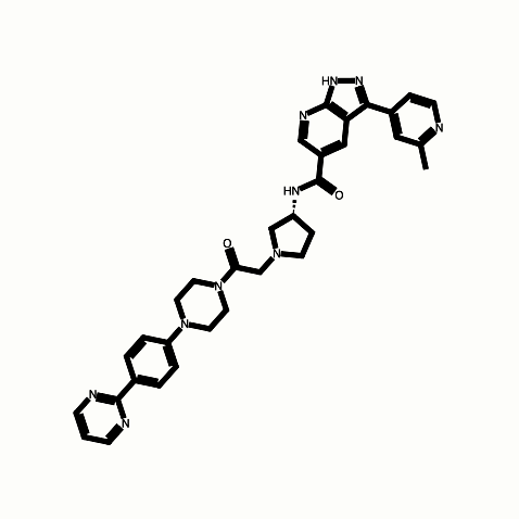 Cc1cc(-c2n[nH]c3ncc(C(=O)N[C@@H]4CCN(CC(=O)N5CCN(c6ccc(-c7ncccn7)cc6)CC5)C4)cc23)ccn1